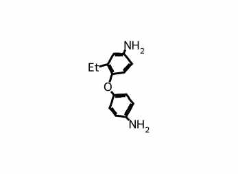 CCc1cc(N)ccc1Oc1ccc(N)cc1